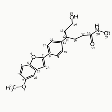 COc1ccc2oc(-c3ccc([C@@H](CCO)CCC(=O)NO)cc3)cc2c1